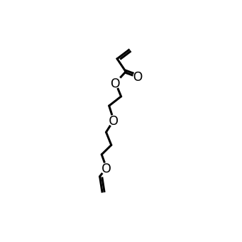 C=COCCCOCCOC(=O)C=C